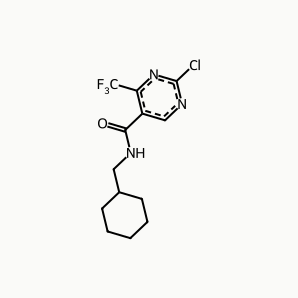 O=C(NCC1CCCCC1)c1cnc(Cl)nc1C(F)(F)F